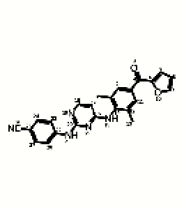 Cc1cc(C(=O)c2ccco2)cc(C)c1Nc1ccnc(Nc2ccc(C#N)cc2)n1